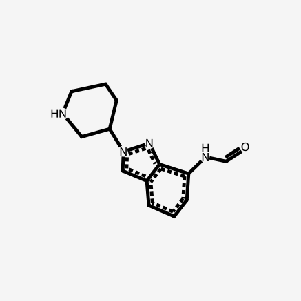 O=CNc1cccc2cn(C3CCCNC3)nc12